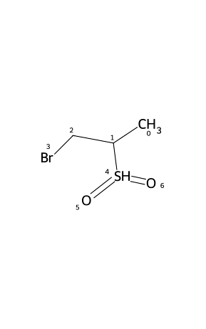 CC(CBr)[SH](=O)=O